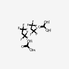 FC(F)(F)CC(F)(F)F.FC(F)(F)CC(F)(F)F.O=C(O)O.O=C(O)O